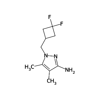 Cc1c(N)nn(CC2CC(F)(F)C2)c1C